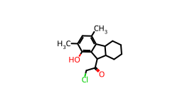 Cc1cc(C)c2c(c1O)C(C(=O)CCl)C1CCCCC21